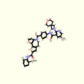 COc1cccc(F)c1NC(=O)c1cc2c(s1)-c1sccc1N(C(=O)c1ccc(NC(=O)c3cc(C)cnc3N3CC4(CCOCC4)C3)cc1)CC2